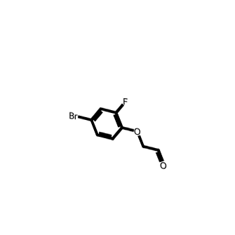 O=CCOc1ccc(Br)cc1F